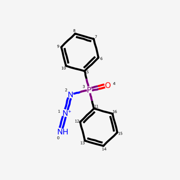 N=[N+]=NP(=O)(c1ccccc1)c1ccccc1